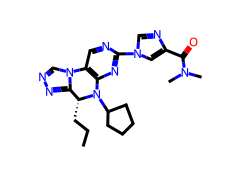 CCC[C@@H]1c2nncn2-c2cnc(-n3cnc(C(=O)N(C)C)c3)nc2N1C1CCCC1